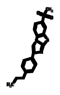 CCCc1ccc(-c2cn3c(n2)sc2cc(S(C)(=O)=O)ccc23)cc1